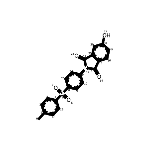 Cc1ccc(S(=O)(=O)c2ccc(N3C(=O)c4ccc(O)cc4C3=O)cc2)cc1